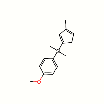 COc1ccc([Si](C)(C)C2=CC(C)=CC2)cc1